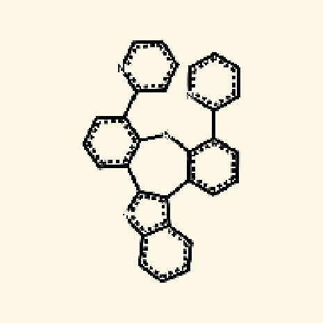 c1ccc(-c2cccc3c2Sc2c(-c4ccccn4)cccc2-c2c-3sc3ccccc23)nc1